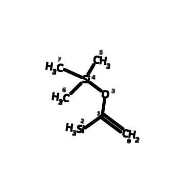 C=C([SiH3])O[Si](C)(C)C